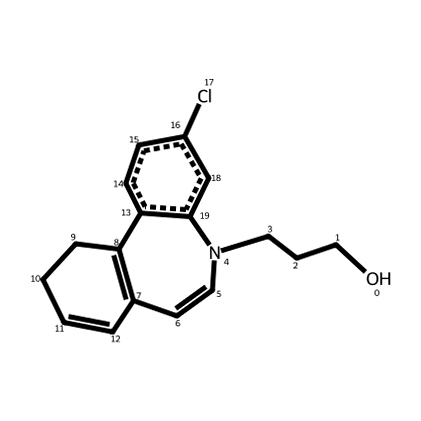 OCCCN1C=CC2=C(CCC=C2)c2ccc(Cl)cc21